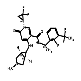 C[C@@H](NC(=O)c1cn([C@@H]2CC2(F)F)c(=O)cc1NC1[C@H]2CN(C)C[C@@H]12)c1cccc(C(C)(F)F)c1F